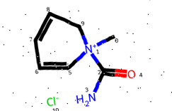 C[N+]1(C(N)=O)C=CC=CC1.[Cl-]